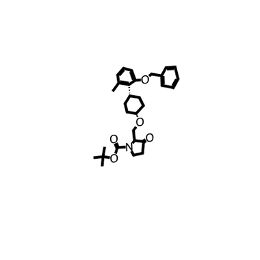 Cc1cccc(OCc2ccccc2)c1[C@H]1CC[C@@H](OCC2C(=O)CCN2C(=O)OC(C)(C)C)CC1